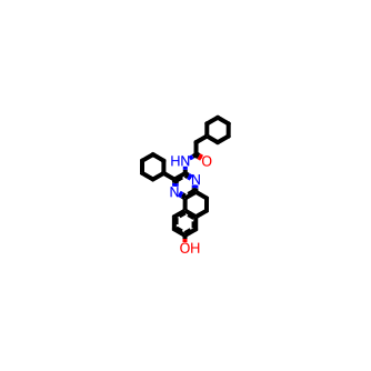 O=C(CC1CCCCC1)Nc1nc2c(nc1C1CCCCC1)-c1ccc(O)cc1CC2